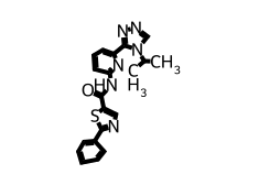 CC(C)n1cnnc1-c1cccc(NC(=O)c2cnc(-c3ccccc3)s2)n1